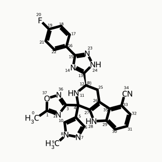 Cc1nc(C2(c3cnn(C)c3)N[C@@H](c3nc(-c4ccc(F)cc4)n[nH]3)Cc3c2[nH]c2cccc(C#N)c32)no1